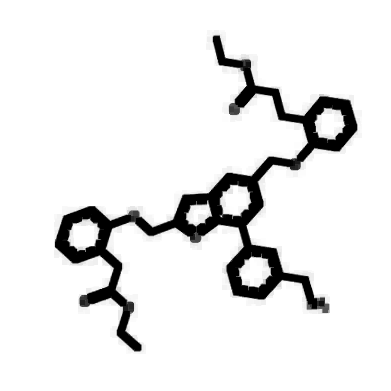 CCOC(=O)CCc1ccccc1OCc1cc(-c2cccc(CN)c2)c2oc(COc3ccccc3CC(=O)OCC)cc2c1